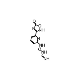 N=CNONc1cccc(-c2nc(=O)o[nH]2)n1